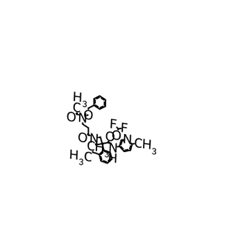 CC(=O)N(CCC(=O)N1CC(C(=O)Nc2ccc(C)nc2OC(F)F)(c2ccccc2C(C)C)C1)OCc1ccccc1